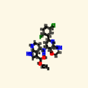 COC(=O)c1c[nH]c2nccc(Nc3cc(-c4cc(Cl)ccc4F)nc4c3OCCN4)c12